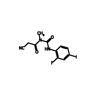 CN(C(=O)CC#N)C(=O)Nc1ccc(I)cc1F